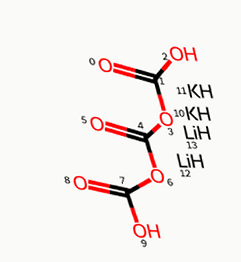 O=C(O)OC(=O)OC(=O)O.[KH].[KH].[LiH].[LiH]